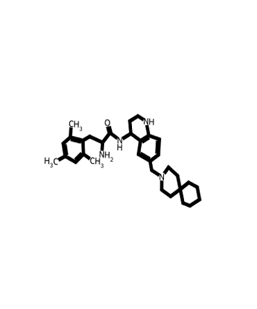 Cc1cc(C)c(CC(N)C(=O)NC2CCNc3ccc(CN4CCC5(CCCCC5)CC4)cc32)c(C)c1